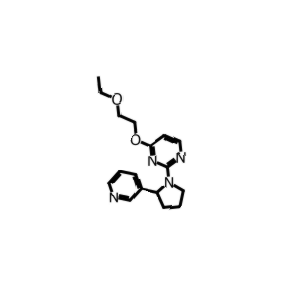 CCOCCOc1ccnc(N2CCCC2c2cccnc2)n1